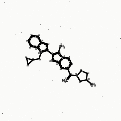 C=C(c1ccn2c(C)c(-c3cc4ccccc4n3CC3CC3)nc2c1)N1CCC(N)C1